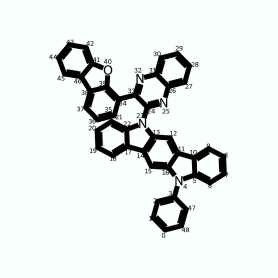 c1ccc(-n2c3ccccc3c3cc4c(cc32)c2ccccc2n4-c2nc3ccccc3nc2-c2cccc3c2oc2ccccc23)cc1